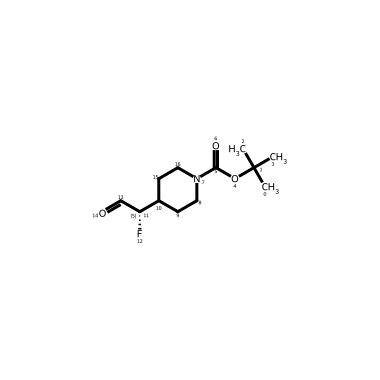 CC(C)(C)OC(=O)N1CCC([C@H](F)C=O)CC1